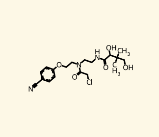 CC(C)(CO)C(O)C(=O)NCCN(CCOc1ccc(C#N)cc1)C(=O)CCl